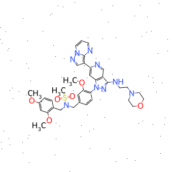 COc1ccc(CN(Cc2ccc(-n3nc(NCCN4CCOCC4)c4cnc(-c5cnn6cccnc56)cc43)c(OC)c2)S(C)(=O)=O)c(OC)c1